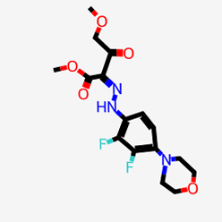 COCC(=O)C(=NNc1ccc(N2CCOCC2)c(F)c1F)C(=O)OC